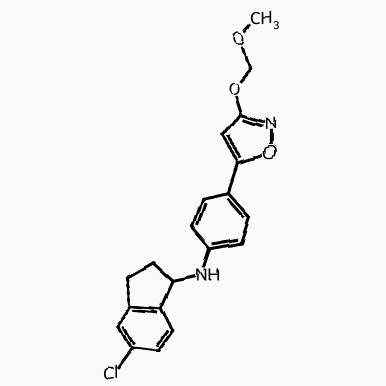 COCOc1cc(-c2ccc(NC3CCc4cc(Cl)ccc43)cc2)on1